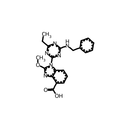 CCc1nc(NCc2ccccc2)nc(-n2c(OC)nc3c(C(=O)O)cccc32)n1